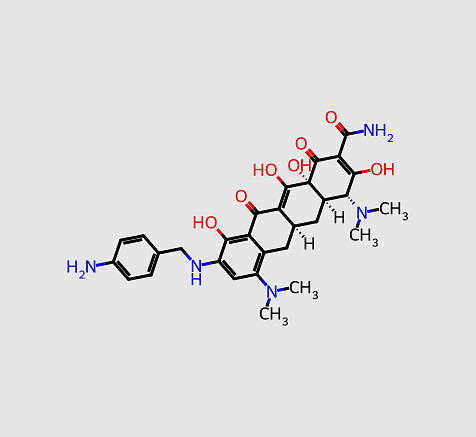 CN(C)c1cc(NCc2ccc(N)cc2)c(O)c2c1C[C@@H]1C[C@@H]3[C@@H](N(C)C)C(O)=C(C(N)=O)C(=O)[C@]3(O)C(O)=C1C2=O